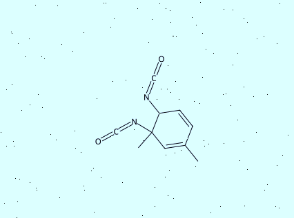 CC1=CC(C)(N=C=O)C(N=C=O)C=C1